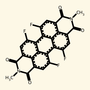 CN1C(=O)c2cc(F)c3c4c(F)cc5c6c(cc(F)c(c7c(F)cc(c2c37)C1=O)c64)C(=O)N(C)C5=O